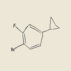 Fc1cc(C2CC2)ccc1Br